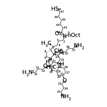 CCCCCCCCN(CCC[C@@H](C)[C@H]1CC[C@H]2C3[C@H](OCCCN)CC4C[C@H](OCCCN)CCC4(C)[C@H]3C[C@H](OCCCN)[C@]12C)C(=O)CCCCCS